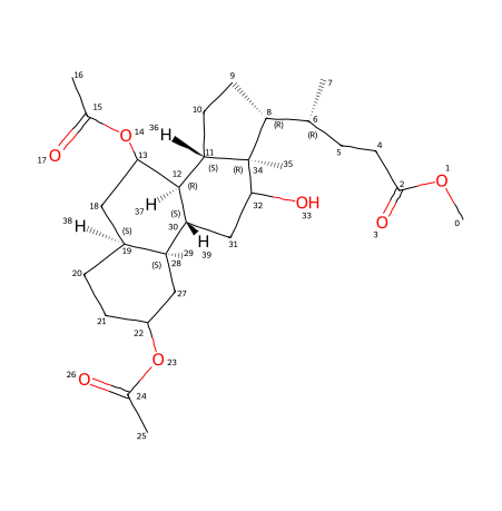 COC(=O)CC[C@@H](C)[C@H]1CC[C@H]2[C@@H]3C(OC(C)=O)C[C@@H]4CCC(OC(C)=O)C[C@]4(C)[C@H]3CC(O)[C@]12C